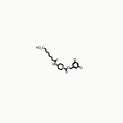 O=C(O)CCCCCCC(=O)NC1CCN(C(=O)OCc2cc(Cl)cc(Cl)c2)CC1